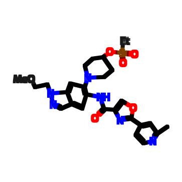 CCS(=O)(=O)OC1CCN(c2cc3c(cnn3CCOC)cc2NC(=O)c2coc(-c3ccnc(C)c3)n2)CC1